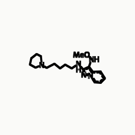 CONc1c(NCCCCCN2CCCCC2)nn2ccccc12